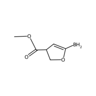 BC1=CC(C(=O)OC)CO1